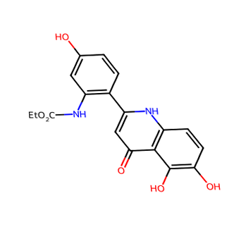 CCOC(=O)Nc1cc(O)ccc1-c1cc(=O)c2c(O)c(O)ccc2[nH]1